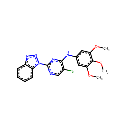 COc1cc(Nc2nc(-n3nnc4ccccc43)ncc2Br)cc(OC)c1OC